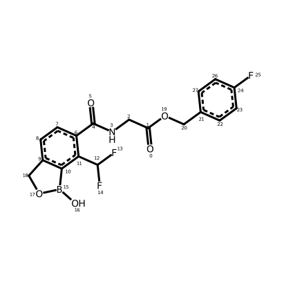 O=C(CNC(=O)c1ccc2c(c1C(F)F)B(O)OC2)OCc1ccc(F)cc1